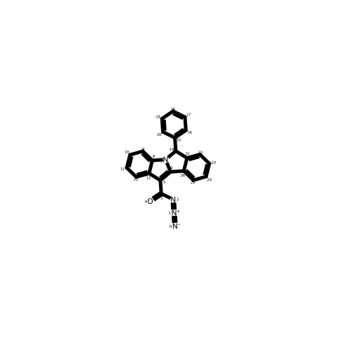 [N-]=[N+]=NC(=O)c1c2n(c3ccccc13)C(c1ccccc1)c1ccccc1-2